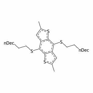 CCCCCCCCCCCCSc1c2cc(C)sc2c(SCCCCCCCCCCCC)c2cc(C)sc12